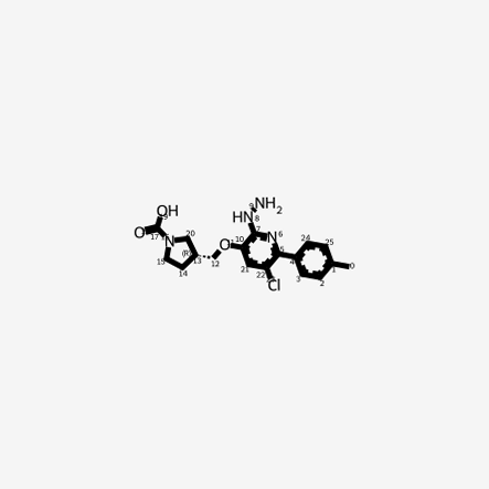 Cc1ccc(-c2nc(NN)c(OC[C@@H]3CCN(C(=O)O)C3)cc2Cl)cc1